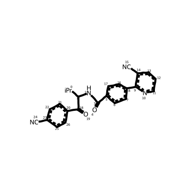 CC(C)C(NC(=O)c1ccc(-c2ncccc2C#N)cc1)C(=O)c1ccc(C#N)cc1